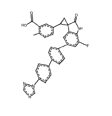 Cc1ccc(C2CC23C(=O)Nc2c(F)cc(-c4ccc(-c5ccc(-n6cncn6)cc5)cc4)cc23)cc1C(=O)O